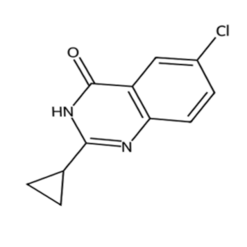 O=c1[nH]c(C2CC2)nc2ccc(Cl)cc12